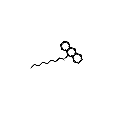 ClCCCCCCCOc1c2ccccc2cc2ccccc12